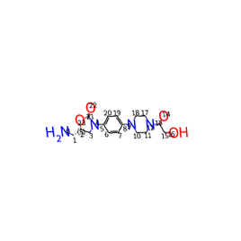 NC[C@H]1CN(c2ccc(N3CCN(C(=O)CO)CC3)cc2)C(=O)O1